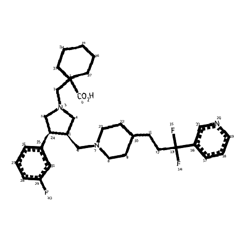 O=C(O)C1(CN2C[C@@H](CN3CCC(CCC(F)(F)c4cccnc4)CC3)[C@@H](c3cccc(F)c3)C2)CCCCC1